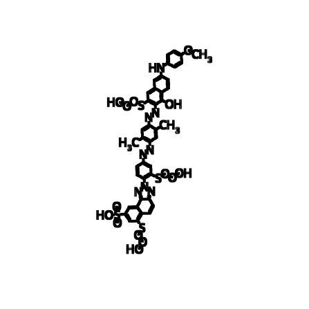 COc1ccc(Nc2ccc3c(O)c(N=Nc4cc(C)c(N=Nc5ccc(-n6nc7ccc8c(SOOO)cc(S(=O)(=O)O)cc8c7n6)c(SOOO)c5)cc4C)c(SOOO)cc3c2)cc1